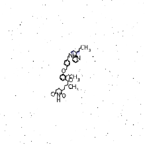 CC/C=C(\C=C/NCc1ccc(COc2cccc(C(=O)C(C)CCC3CCC(=O)NC3=O)c2CC)cc1)c1ccccn1